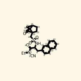 CCN(C#N)C(=O)C(Cc1ccc2ccccc2c1)NS(=O)(=O)CC12CCC(CC1=O)C2(C)C